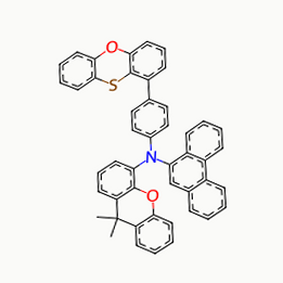 CC1(C)c2ccccc2Oc2c(N(c3ccc(-c4cccc5c4Sc4ccccc4O5)cc3)c3cc4ccccc4c4ccccc34)cccc21